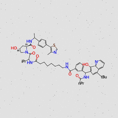 CCCC(=O)NC(c1cccc(C(=O)NCCCCCCCC(=O)NC(C(=O)N2C[C@H](O)C[C@H]2C(=O)NC(C)c2ccc(-c3scnc3C)cc2)C(C)C)c1)c1cc(C(C)(C)C)c2cccnc2c1O